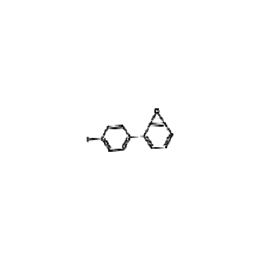 Ic1ccc(-c2cccc3c2O3)cc1